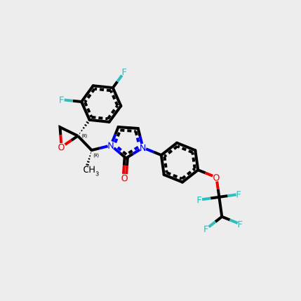 C[C@@H](n1ccn(-c2ccc(OC(F)(F)C(F)F)cc2)c1=O)[C@]1(c2ccc(F)cc2F)CO1